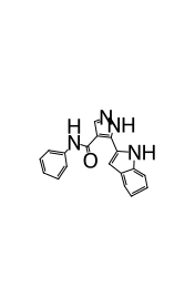 O=C(Nc1ccccc1)c1cn[nH]c1-c1cc2ccccc2[nH]1